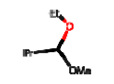 C[CH]OC(OC)C(C)C